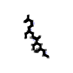 C=C(C)/C=C\C=C(\CC)C/N=C(\C)C(CC)CC(S)/C=C/C